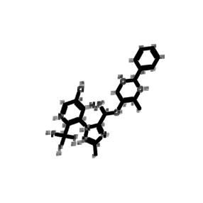 CC1=C(OC(P)c2nc(C)nn2-c2cc(Cl)cnc2C(F)(F)F)COC(c2ccccc2)O1